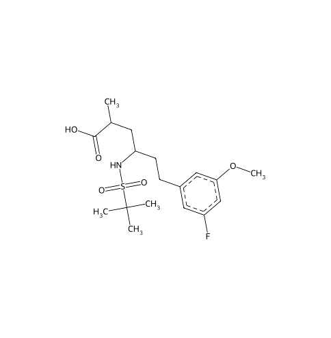 COc1cc(F)cc(CCC(CC(C)C(=O)O)NS(=O)(=O)C(C)(C)C)c1